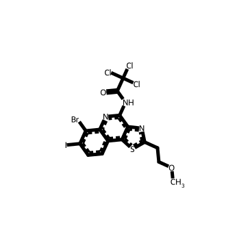 COCCc1nc2c(NC(=O)C(Cl)(Cl)Cl)nc3c(Br)c(I)ccc3c2s1